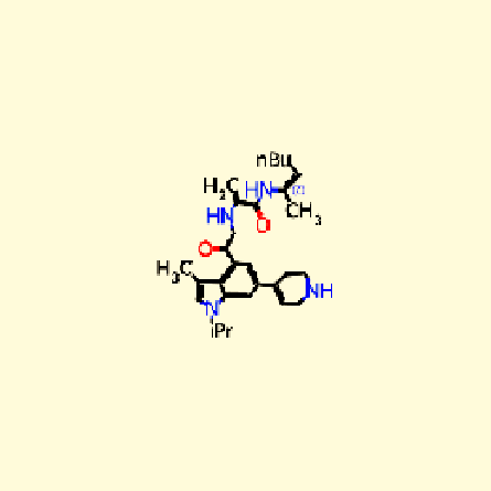 C=C(NCC(=O)c1cc(C2=CCNCC2)cc2c1c(C)cn2C(C)C)C(=O)N/C(C)=C\CCCC